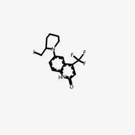 O=c1cc(C(F)(F)F)c2cc(N3CCCCC3CI)ccc2[nH]1